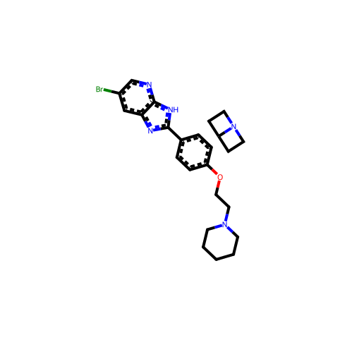 Brc1cnc2[nH]c(-c3ccc(OCCN4CCCCC4)cc3)nc2c1.C1CN2CCC12